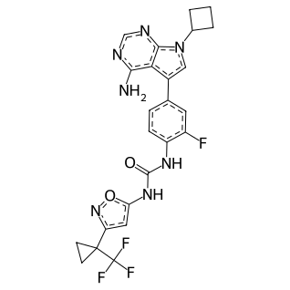 Nc1ncnc2c1c(-c1ccc(NC(=O)Nc3cc(C4(C(F)(F)F)CC4)no3)c(F)c1)cn2C1CCC1